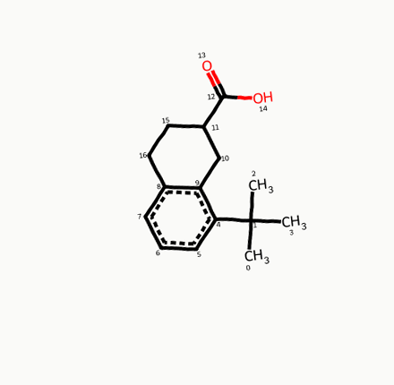 CC(C)(C)c1cccc2c1CC(C(=O)O)CC2